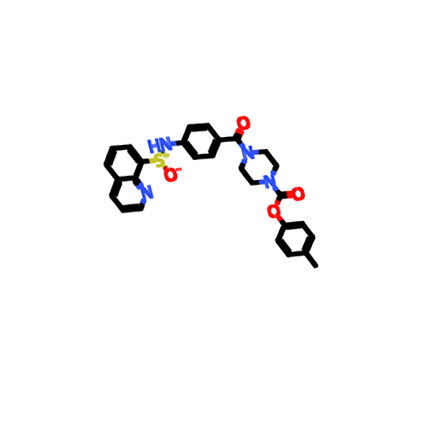 Cc1ccc(OC(=O)N2CCN(C(=O)c3ccc(N[S+]([O-])c4cccc5cccnc45)cc3)CC2)cc1